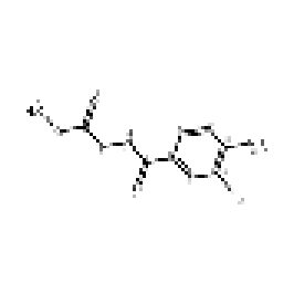 COC(=O)CNC(=O)c1ccc(N)c(I)c1